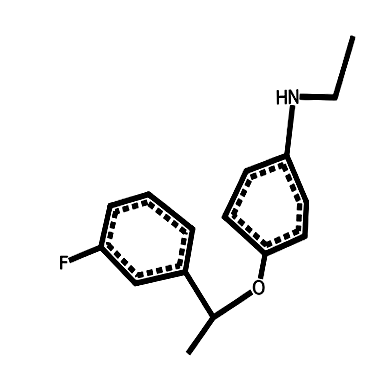 CCNc1ccc(OC(C)c2cccc(F)c2)cc1